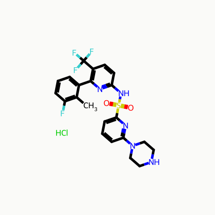 Cc1c(F)cccc1-c1nc(NS(=O)(=O)c2cccc(N3CCNCC3)n2)ccc1C(F)(F)F.Cl